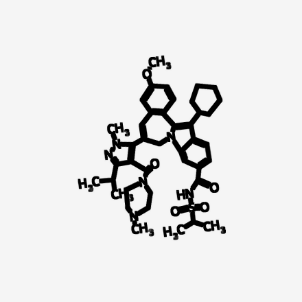 COc1ccc2c(c1)C=C(c1c(C(=O)N3CCN(C)CC3)c(C(C)C)nn1C)Cn1c-2c(C2CCCCC2)c2ccc(C(=O)NS(=O)(=O)C(C)C)cc21